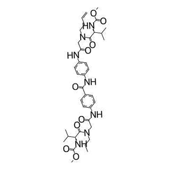 C=CCCN(CC(=O)Nc1ccc(NC(=O)c2ccc(NC(=O)CN(CCC)C(=O)[C@@H](NC(=O)OC)C(C)C)cc2)cc1)C(=O)[C@@H](NC(=O)OC)C(C)C